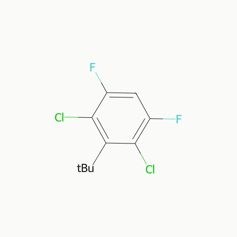 CC(C)(C)c1c(Cl)c(F)cc(F)c1Cl